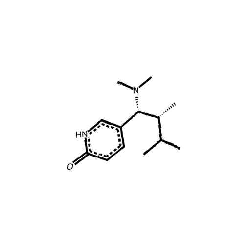 CC(C)[C@@H](C)[C@H](c1ccc(=O)[nH]c1)N(C)C